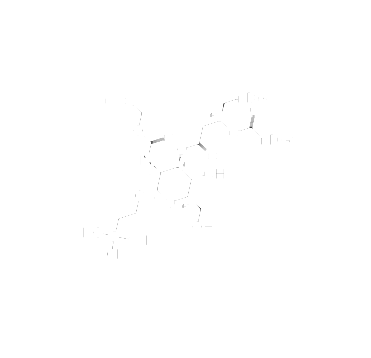 CCCCCCCCCCC[C@H](CC(=O)O[C@H]1[C@H](O)[C@@H](CO)O[C@H](OCC[Si](C)(C)C)[C@H]1NC(=O)OCC(Cl)(Cl)Cl)OC(=O)CCCCCCCCCC